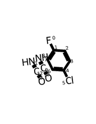 Fc1ccc(Cl)cc1.N=C=O.N=C=O